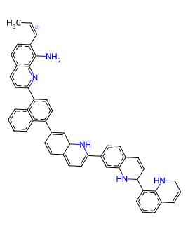 C/C=C\c1ccc2ccc(-c3ccc(C4=CC5NC(c6ccc7c(c6)NC(c6cccc8c6NCC=C8)C=C7)=CC=C5C=C4)c4ccccc34)nc2c1N